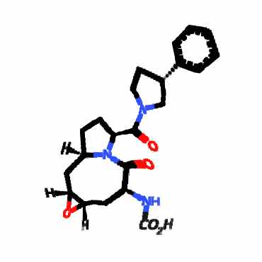 O=C(O)N[C@H]1C[C@@H]2O[C@@H]2C[C@H]2CC[C@@H](C(=O)N3CC[C@H](c4ccccc4)C3)N2C1=O